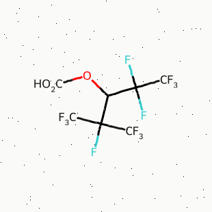 O=C(O)OC(C(F)(F)C(F)(F)F)C(F)(C(F)(F)F)C(F)(F)F